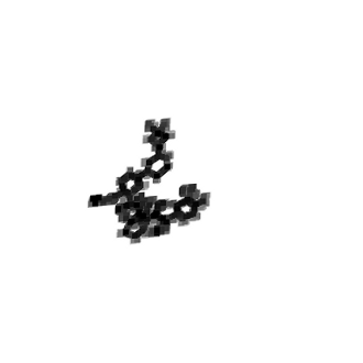 COc1ccc(C2CCCC(N3CC(F)(F)C3)C2)cc1C(=O)N[C@H]1[C@@H](C(=O)Nc2ccc(F)c(C(F)(F)F)c2)[C@H]2CC[C@@H]1/C2=C\C(F)(F)F